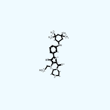 CC1(C)CC(Nc2cccc(-c3sc(C(=O)N4CCOCC4)c(OCC(=O)O)c3Br)c2)CC(C)(C)C1